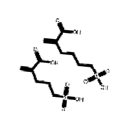 C=C(CCCCS(=O)(=O)O)C(=O)O.C=C(CCCS(=O)(=O)O)C(=O)O